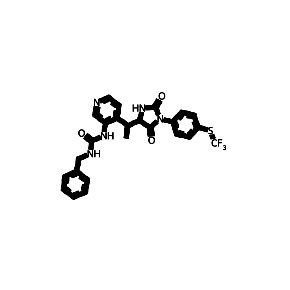 CC(c1ccncc1NC(=O)NCc1ccccc1)C1NC(=O)N(c2ccc(SC(F)(F)F)cc2)C1=O